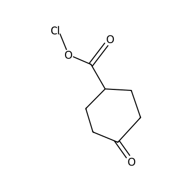 O=C1CCC(C(=O)OCl)CC1